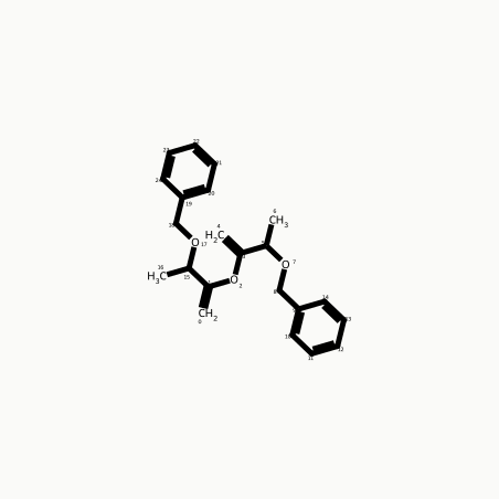 C=C(OC(=C)C(C)OCc1ccccc1)C(C)OCc1ccccc1